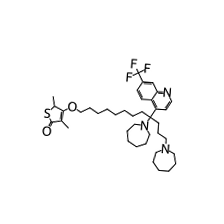 CC1=C(OCCCCCCCCC(CCCN2CCCCCC2)(c2ccnc3cc(C(F)(F)F)ccc23)N2CCCCCC2)C(C)SC1=O